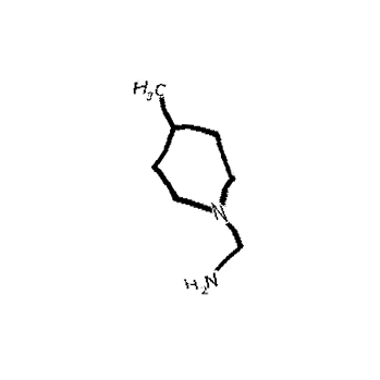 CC1CCN(CN)CC1